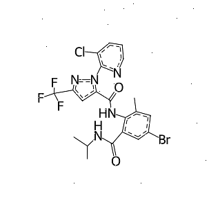 Cc1cc(Br)cc(C(=O)NC(C)C)c1NC(=O)c1cc(C(F)(F)F)nn1-c1ncccc1Cl